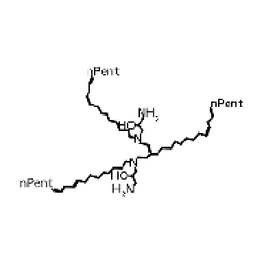 CCCCCC=CC/C=C\CCCCCCCCC(CCN(CCCCCCCCC=CC/C=C\CCCCC)CC(O)CN)CCN(CCCCCCCC/C=C\CC=CCCCCC)CC(O)CN